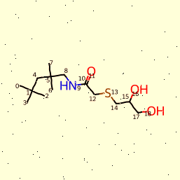 CC(C)(C)CC(C)(C)CNC(=O)CSCC(O)CO